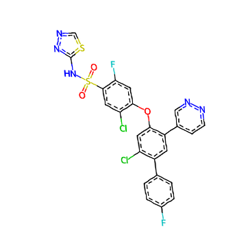 O=S(=O)(Nc1nncs1)c1cc(Cl)c(Oc2cc(Cl)c(-c3ccc(F)cc3)cc2-c2ccnnc2)cc1F